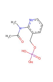 CC(=O)N(C)c1ncccc1COP(=O)(O)O